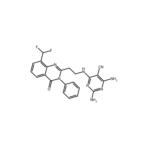 N#Cc1c(N)nc(N)nc1NCCc1nc2c(C(F)F)cccc2c(=O)n1-c1ccccc1